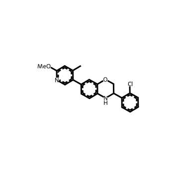 COc1cc(C)c(-c2ccc3c(c2)OCC(c2ccccc2Cl)N3)cn1